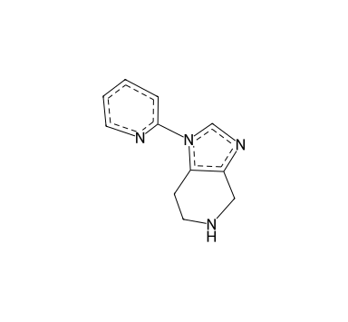 c1ccc(-n2cnc3c2CCNC3)nc1